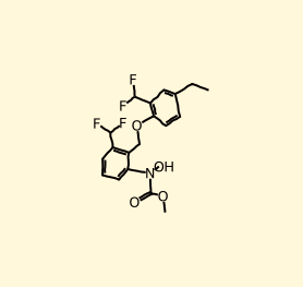 CCc1ccc(OCc2c(C(F)F)cccc2N(O)C(=O)OC)c(C(F)F)c1